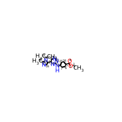 CCOC(=O)c1ccc(Nc2nncc(-c3cnc(C)n3C(C)C)n2)cc1